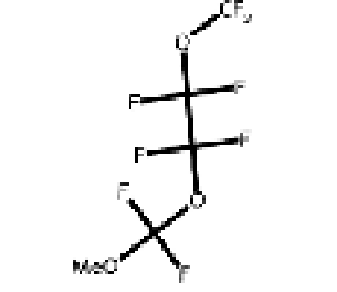 COC(F)(F)OC(F)(F)C(F)(F)OC(F)(F)F